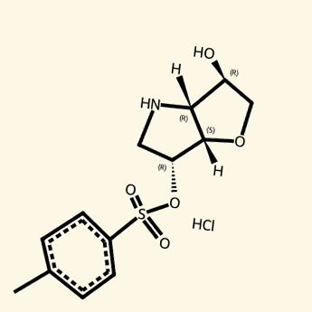 Cc1ccc(S(=O)(=O)O[C@@H]2CN[C@H]3[C@@H]2OC[C@@H]3O)cc1.Cl